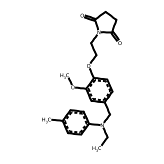 CCN(Cc1ccc(OCCN2C(=O)CCC2=O)c(OC)c1)c1ccc(C)cc1